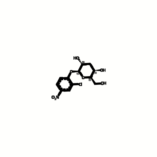 O=[N+]([O-])c1ccc(O[C@@H]2O[C@H](CO)[C@@H](O)C[C@H]2O)c(Cl)c1